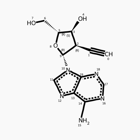 C#C[C@@H]1[C@H](O)[C@@H](CO)O[C@H]1n1cnc2c(N)ncnc21